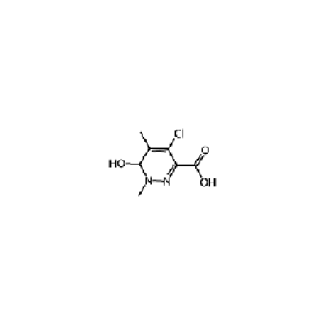 CC1=C(Cl)C(C(=O)O)=NN(C)C1O